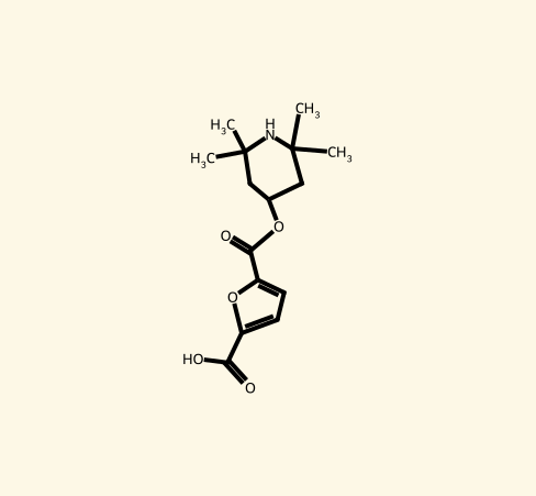 CC1(C)CC(OC(=O)c2ccc(C(=O)O)o2)CC(C)(C)N1